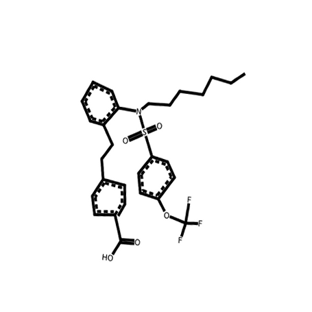 CCCCCCCN(c1ccccc1CCc1ccc(C(=O)O)cc1)S(=O)(=O)c1ccc(OC(F)(F)F)cc1